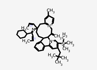 C=C1C[n+]2ccc(C)cc2CC(/C=C\C)(N=C(/C=C\C)C2CCCCC2)CCC2c3ccccc3-c3cc(CC(C)(C)C)c([Si](C)(C)C)c[n+]3C12